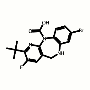 CC(C)(C)c1nc2c(cc1F)CNc1cc(Br)ccc1N2C(=O)O